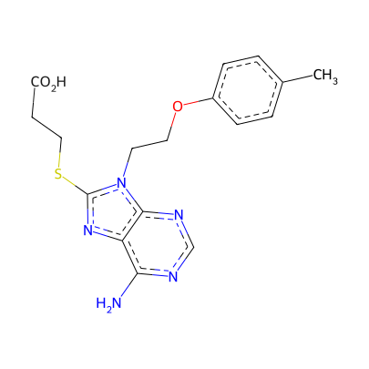 Cc1ccc(OCCn2c(SCCC(=O)O)nc3c(N)ncnc32)cc1